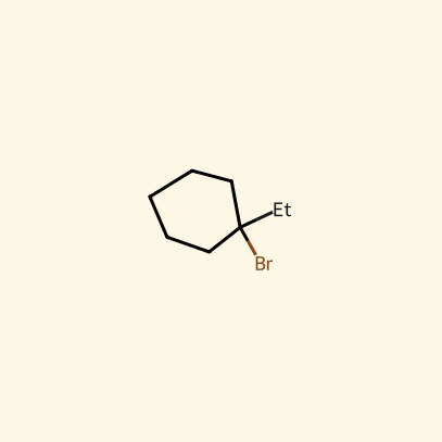 CCC1(Br)CCCCC1